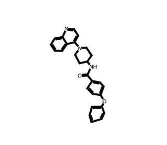 O=C(NC1CCN(c2ccnc3ccccc23)CC1)c1ccc(Oc2ccccc2)cc1